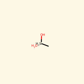 C[SiH2]O.O